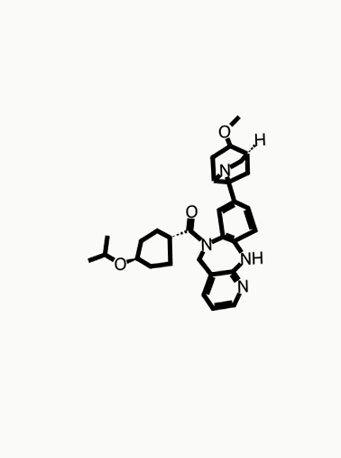 COC1CC2CC[C@H]1CN2c1ccc2c(c1)N(C(=O)[C@H]1CC[C@H](OC(C)C)CC1)Cc1cccnc1N2